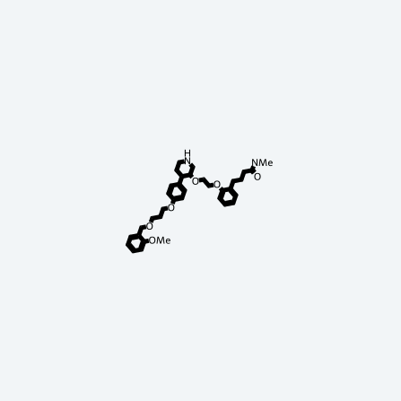 CNC(=O)CCCc1ccccc1OCCOC1CNCCC1c1ccc(OCCCOCc2ccccc2OC)cc1